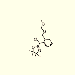 COCOCc1ccccc1C(Cl)B1OC(C)(C)C(C)(C)O1